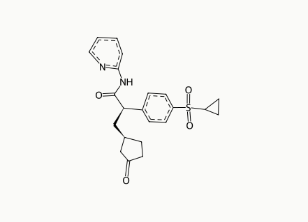 O=C1CC[C@H](C[C@@H](C(=O)Nc2ccccn2)c2ccc(S(=O)(=O)C3CC3)cc2)C1